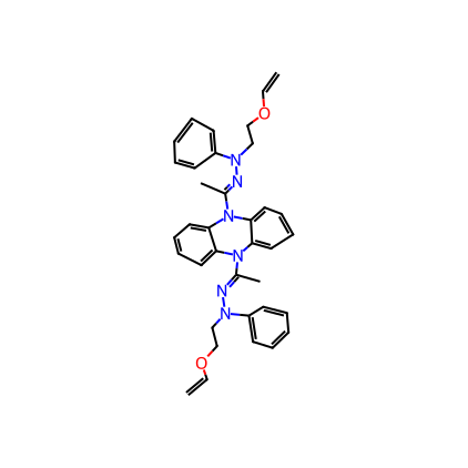 C=COCCN(/N=C(\C)N1c2ccccc2N(/C(C)=N/N(CCOC=C)c2ccccc2)c2ccccc21)c1ccccc1